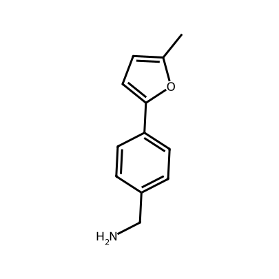 Cc1ccc(-c2ccc(CN)cc2)o1